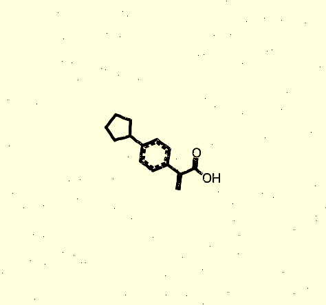 C=C(C(=O)O)c1ccc(C2CCCC2)cc1